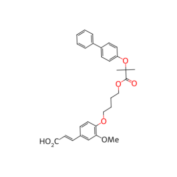 COc1cc(/C=C/C(=O)O)ccc1OCCCCOC(=O)C(C)(C)Oc1ccc(-c2ccccc2)cc1